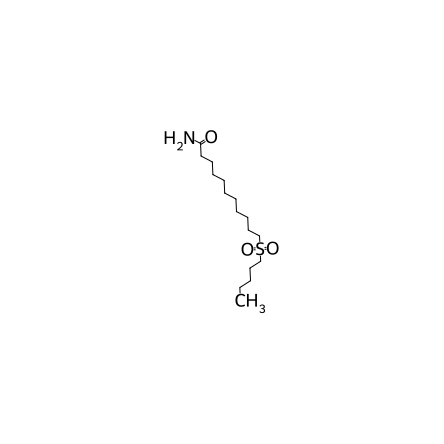 CCCCCS(=O)(=O)CCCCCCCCCCC(N)=O